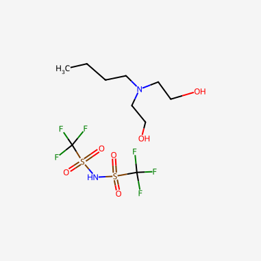 CCCCN(CCO)CCO.O=S(=O)(NS(=O)(=O)C(F)(F)F)C(F)(F)F